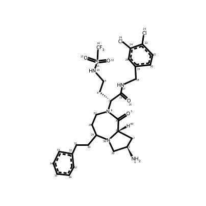 N[C@@H]1C[C@H]2C(=O)N([C@H](CCNS(=O)(=O)C(F)(F)F)C(=O)NCc3ccc(Cl)c(Cl)c3)CCC(CCc3ccccc3)N2C1